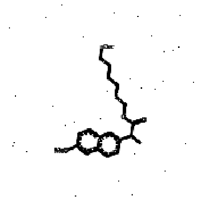 CCCCCCCCCCCCCCCCOC(=O)C(C)c1ccc2cc(OC)ccc2c1